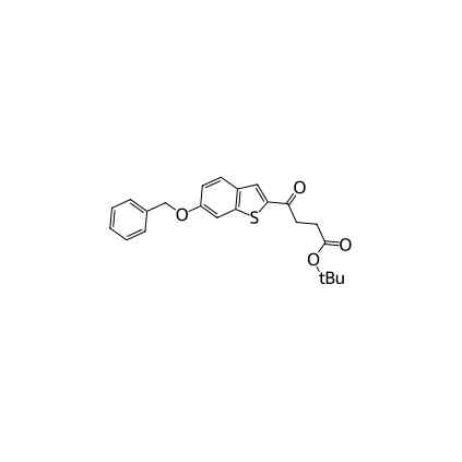 CC(C)(C)OC(=O)CCC(=O)c1cc2ccc(OCc3ccccc3)cc2s1